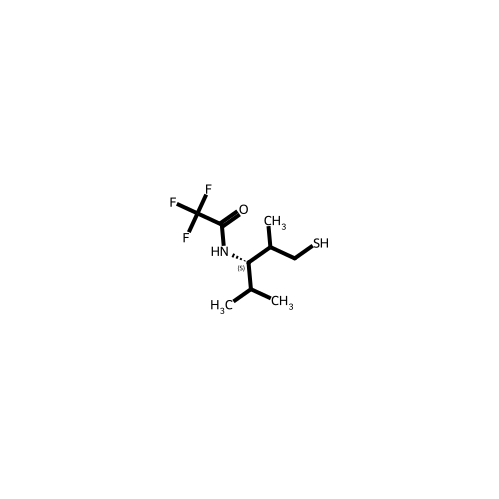 CC(C)[C@H](NC(=O)C(F)(F)F)C(C)CS